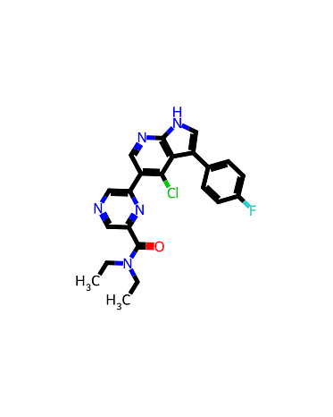 CCN(CC)C(=O)c1cncc(-c2cnc3[nH]cc(-c4ccc(F)cc4)c3c2Cl)n1